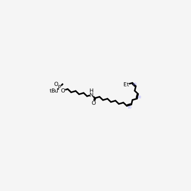 CC/C=C\C/C=C\C/C=C\CCCCCCCC(=O)NCCCCCCOP(C)(=O)C(C)(C)C